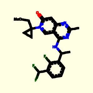 COCC1(n2cc3c(NC(C)c4cccc(C(F)F)c4F)nc(C)nc3cc2=O)CC1